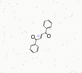 O=C(/C=C/C(=O)c1ccccc1)c1ccccc1